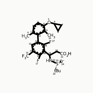 Cc1ccc(OC2CC2)c(C)c1-c1cc(C(F)(F)F)c(F)c(C(CC(=O)O)N[S@+]([O-])C(C)(C)C)c1F